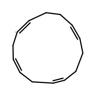 [C]1=CCCC=CCCC=CCC=CC1